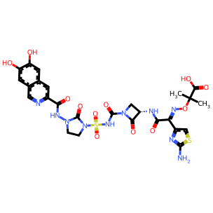 CC(C)(ON=C(C(=O)N[C@H]1CN(C(=O)NS(=O)(=O)N2CCN(NC(=O)c3cc4cc(O)c(O)cc4cn3)C2=O)C1=O)c1csc(N)n1)C(=O)O